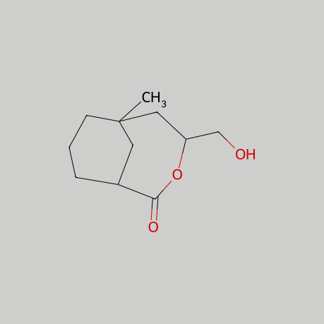 CC12CCCC(C1)C(=O)OC(CO)C2